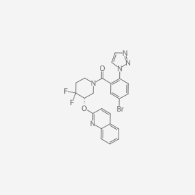 O=C(c1cc(Br)ccc1-n1ccnn1)N1CCC(F)(F)[C@@H](Oc2ccc3ccccc3n2)C1